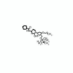 CSCOC1C[C@H](N2C=CC(NC(=O)c3ccccc3)=NC2O)O[C@@H]1CO[Si](C)(C)C(C)(C)C